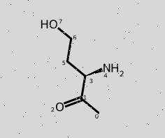 CC(=O)[C@H](N)CCO